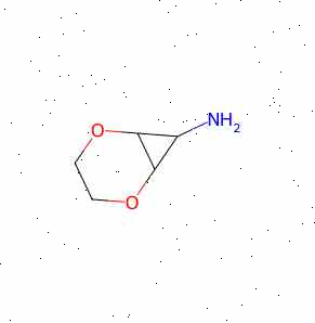 NC1C2OCCOC12